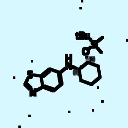 CC(C)(C)[Si](C)(C)O[C@@H]1CCCC[C@H]1Nc1ccc2ncsc2c1